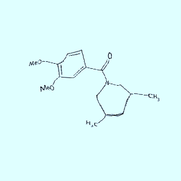 COc1ccc(C(=O)N2CC(C)CC(C)C2)cc1OC